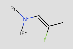 CC(F)=CN(C(C)C)C(C)C